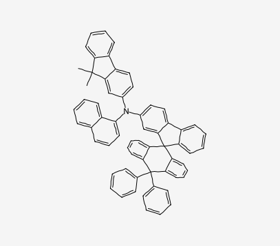 CC1(C)c2ccccc2-c2ccc(N(c3ccc4c(c3)C3(c5ccccc5-4)c4ccccc4C(c4ccccc4)(c4ccccc4)c4ccccc43)c3cccc4ccccc34)cc21